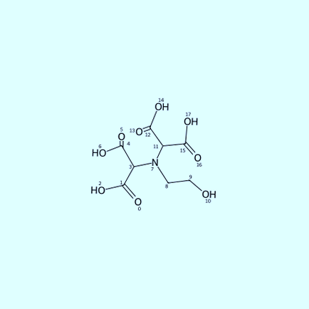 O=C(O)C(C(=O)O)N(CCO)C(C(=O)O)C(=O)O